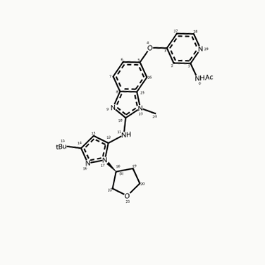 CC(=O)Nc1cc(Oc2ccc3nc(Nc4cc(C(C)(C)C)nn4[C@H]4CCOC4)n(C)c3c2)ccn1